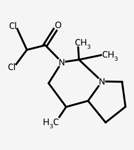 CC1CN(C(=O)C(Cl)Cl)C(C)(C)N2CCCC12